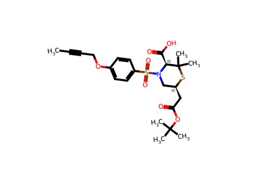 CC#CCOc1ccc(S(=O)(=O)N2C[C@H](CC(=O)OC(C)(C)C)SC(C)(C)[C@@H]2C(=O)O)cc1